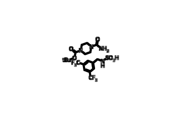 CC(C)(C)OC(=O)N1CCN(C(N)=O)CC1.O=S(=O)(O)NCc1cc(C(F)(F)F)cc(C(F)(F)F)c1